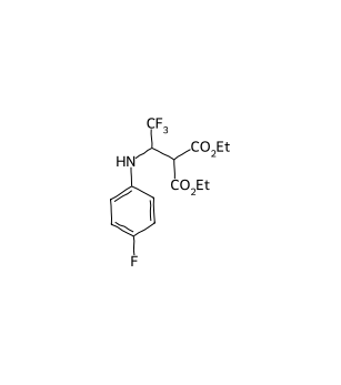 CCOC(=O)C(C(=O)OCC)C(Nc1ccc(F)cc1)C(F)(F)F